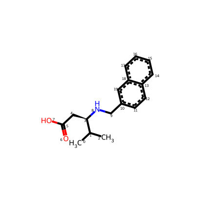 CC(C)[C@@H](CC(=O)O)NCc1ccc2ccccc2c1